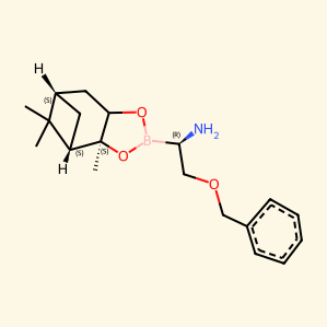 CC1(C)[C@@H]2CC3OB([C@@H](N)COCc4ccccc4)O[C@@]3(C)[C@H]1C2